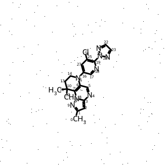 Cc1cc2ncc3c(n2n1)C(C)(C)CCN3c1cnc(-n2nccn2)c(Cl)c1